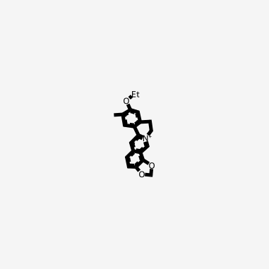 CCOc1cc2c(cc1C)-c1cc3ccc4c(c3c[n+]1CC2)OCO4